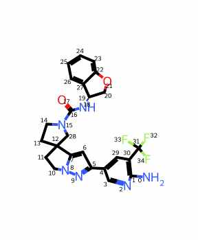 Nc1ncc(-c2cc3n(n2)CCC32CCN(C(=O)N[C@H]3COc4ccccc43)C2)cc1C(F)(F)F